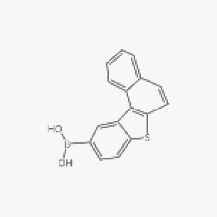 OB(O)c1ccc2sc3ccc4ccccc4c3c2c1